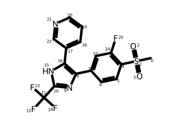 CS(=O)(=O)c1ccc(-c2nc(C(F)(F)F)[nH]c2-c2cccnc2)cc1F